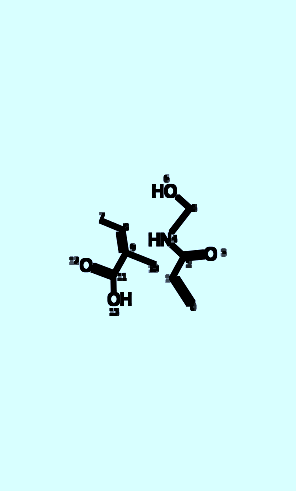 C=CC(=O)NCO.CC=C(C)C(=O)O